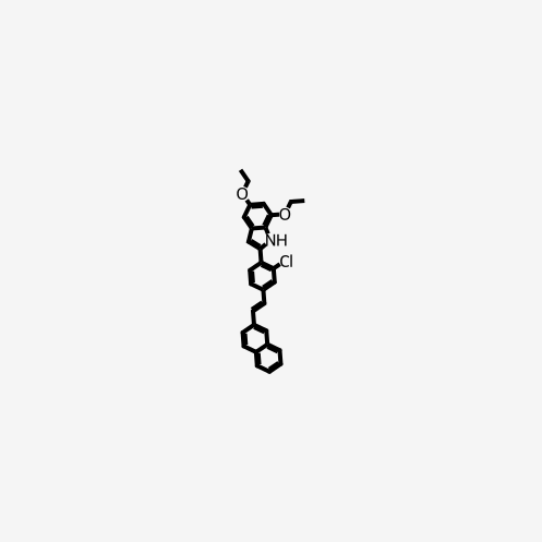 CCOc1cc(OCC)c2[nH]c(-c3ccc(C=Cc4ccc5ccccc5c4)cc3Cl)cc2c1